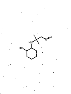 CC(C)(CN=O)NC1CCCCC1O